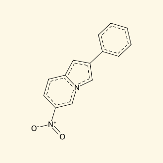 O=[N+]([O-])c1ccc2cc(-c3ccccc3)cn2c1